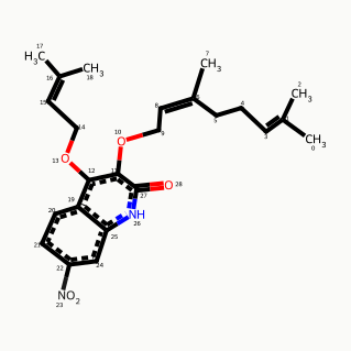 CC(C)=CCCC(C)=CCOc1c(OCC=C(C)C)c2ccc([N+](=O)[O-])cc2[nH]c1=O